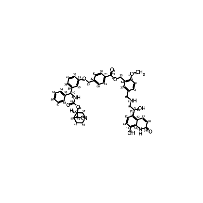 COc1ccc(CNC[C@@H](O)c2ccc(O)c3[nH]c(=O)ccc23)cc1COC(=O)c1ccc(COc2cccc(C(NC(=O)O[C@H]3CN4CCC3CC4)c3ccccc3)c2)cc1